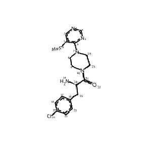 CSc1cncnc1N1CCN(C(=O)[C@H](N)Cc2ccc(Cl)cc2)CC1